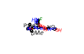 COc1ccc(CN2C3CCC2[C@@H](c2ccccc2C(C)C)N(C2CC4(CCN(c5ccc(C(=O)NS(=O)(=O)c6cnc(NCC7CCC(C)(O)CC7)c([N+](=O)[O-])c6)c(Oc6cc7c(F)c[nH]c7nc6OC)c5)CC4)C2)C3)cc1